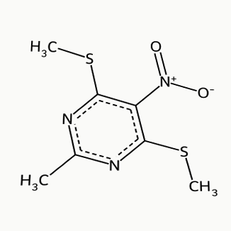 CSc1nc(C)nc(SC)c1[N+](=O)[O-]